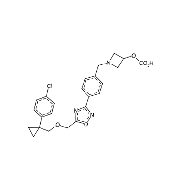 O=C(O)OC1CN(Cc2ccc(-c3noc(COCC4(c5ccc(Cl)cc5)CC4)n3)cc2)C1